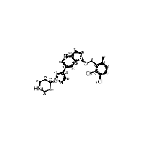 Cc1ccc(Cl)c(Cl)c1COn1ccc2ncc(-c3cnn(C4CCNCC4)c3)cc21